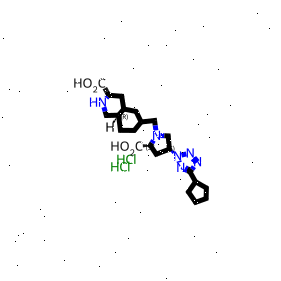 Cl.Cl.O=C(O)C1CC2CC(CN3C[C@@H](n4nnc(C5CCCC5)n4)C[C@H]3C(=O)O)CC[C@H]2CN1